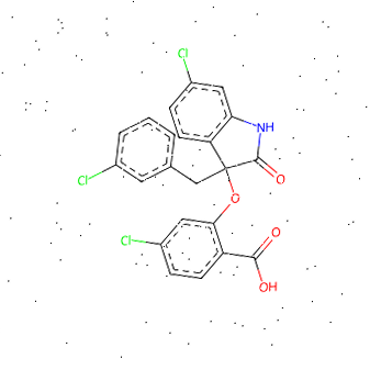 O=C(O)c1ccc(Cl)cc1OC1(Cc2cccc(Cl)c2)C(=O)Nc2cc(Cl)ccc21